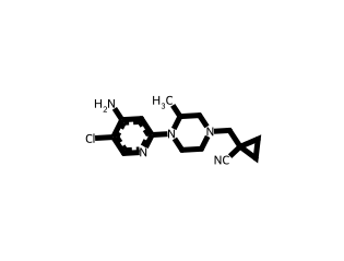 CC1CN(CC2(C#N)CC2)CCN1c1cc(N)c(Cl)cn1